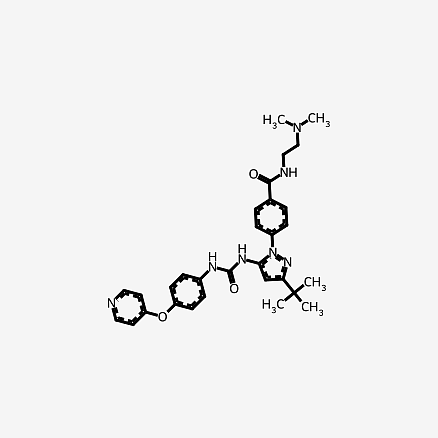 CN(C)CCNC(=O)c1ccc(-n2nc(C(C)(C)C)cc2NC(=O)Nc2ccc(Oc3ccncc3)cc2)cc1